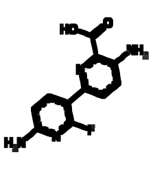 Nc1ccc(-c2ccc(N)c(C(=O)O)n2)c(F)n1